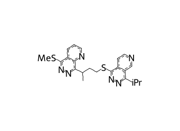 CSc1nnc(C(C)CCSc2nnc(C(C)C)c3cnccc23)c2ncccc12